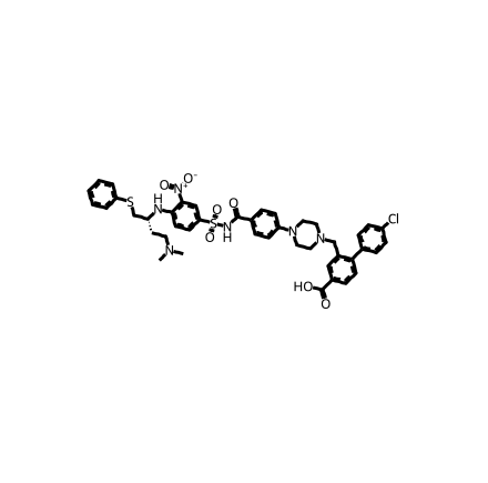 CN(C)CC[C@H](CSc1ccccc1)Nc1ccc(S(=O)(=O)NC(=O)c2ccc(N3CCN(Cc4cc(C(=O)O)ccc4-c4ccc(Cl)cc4)CC3)cc2)cc1[N+](=O)[O-]